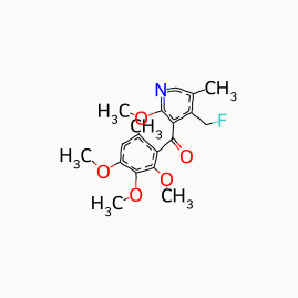 COc1cc(C)c(C(=O)c2c(OC)ncc(C)c2CF)c(OC)c1OC